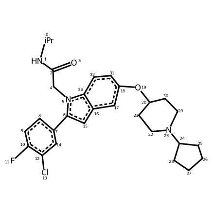 CC(C)NC(=O)Cn1c(-c2ccc(F)c(Cl)c2)cc2cc(OC3CCN(C4CCCC4)CC3)ccc21